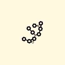 c1ccc(-c2ccc(N(c3cccc(-c4ccc5c6ccccc6n(-c6ccccc6)c5c4)c3)c3ccc4oc5ccc(-c6ccccc6)cc5c4c3)cc2)cc1